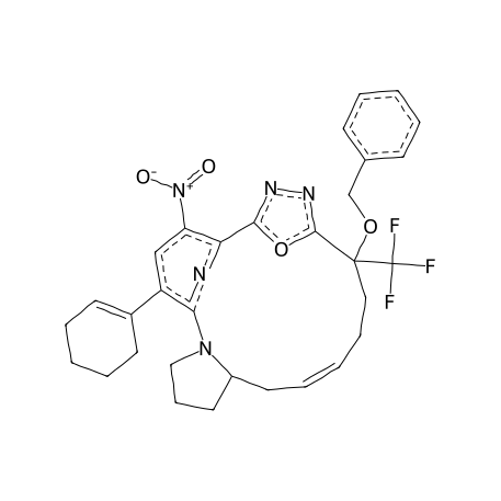 O=[N+]([O-])c1cc(C2=CCCCC2)c2nc1-c1nnc(o1)C(OCc1ccccc1)(C(F)(F)F)CCC=CCC1CCCN21